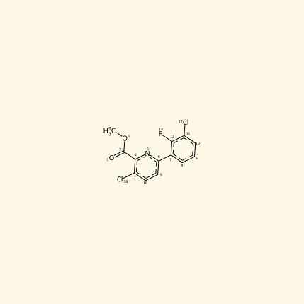 COC(=O)c1nc(-c2cccc(Cl)c2F)ccc1Cl